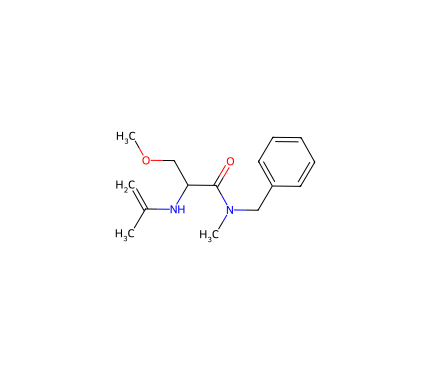 C=C(C)NC(COC)C(=O)N(C)Cc1ccccc1